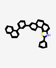 c1ccc(C2Nc3ccc4ccc5cc(-c6cccc(-c7cccc8ccccc78)c6)ccc5c4c3S2)cc1